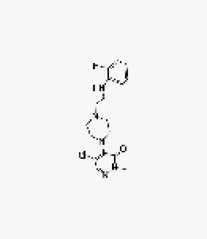 Cn1ncc(Cl)c(N2CCN(CCNc3ccccc3F)CC2)c1=O